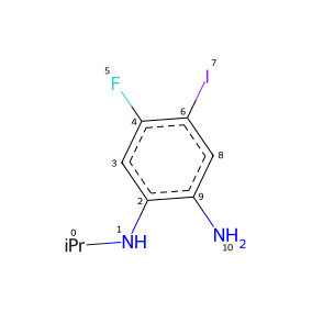 CC(C)Nc1cc(F)c(I)cc1N